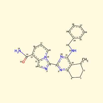 CC1CCCc2nc(-c3ncc4c(C(N)=O)cccn34)nc(NCc3ccccc3)c21